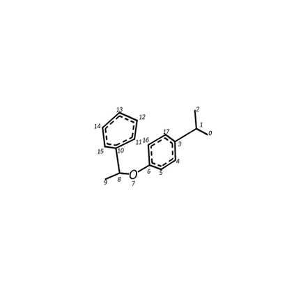 CC(C)c1ccc(OC(C)c2ccccc2)cc1